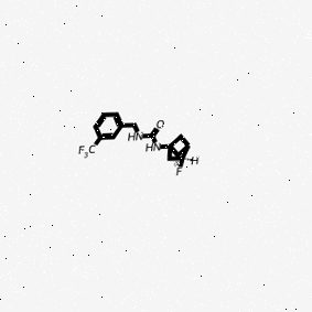 O=C(NCc1cccc(C(F)(F)F)c1)NC12CC(C1)[C@@H](F)C2